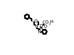 O=C(O)C(=O)On1c(CN2CCO[C@@H](CCc3ccccc3)C2)nc2ccccc21